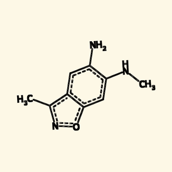 CNc1cc2onc(C)c2cc1N